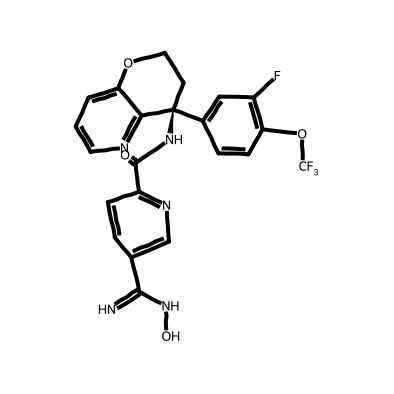 N=C(NO)c1ccc(C(=O)N[C@]2(c3ccc(OC(F)(F)F)c(F)c3)CCOc3cccnc32)nc1